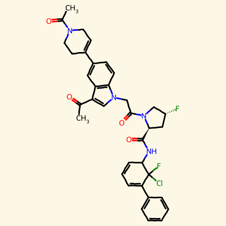 CC(=O)c1cn(CC(=O)N2C[C@H](F)C[C@H]2C(=O)NC2C=CC=C(c3ccccc3)C2(F)Cl)c2ccc(C3=CCN(C(C)=O)CC3)cc12